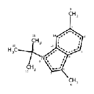 Cc1ccc2c(C)cn(C(C)(C)C)c2c1